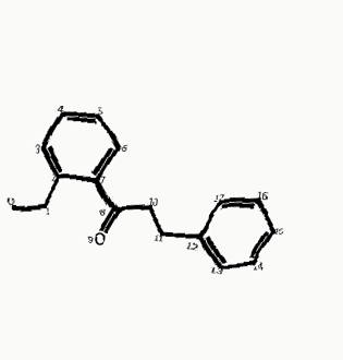 CCc1ccccc1C(=O)CCc1ccccc1